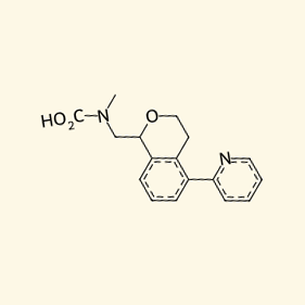 CN(CC1OCCc2c(-c3ccccn3)cccc21)C(=O)O